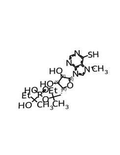 CCC(C)(C[C@H]1O[C@@H](n2c[n+](C)c3c(S)ncnc32)[C@H](O)[C@@H]1O)OP(=O)(O)C(C)(O)CC